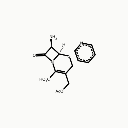 CC(=O)OCC1=C(C(=O)O)N2C(=O)[C@@H](N)[C@H]2SC1.c1ccncc1